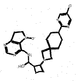 [O-][S+]1CCc2ncnc(NC(O)C3CCC3N3CC4(CCC(c5ncc(Cl)cn5)CC4)C3)c21